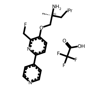 CC(C)C[C@](C)(N)COc1ccc(-c2ccncc2)nc1CF.O=C(O)C(F)(F)F